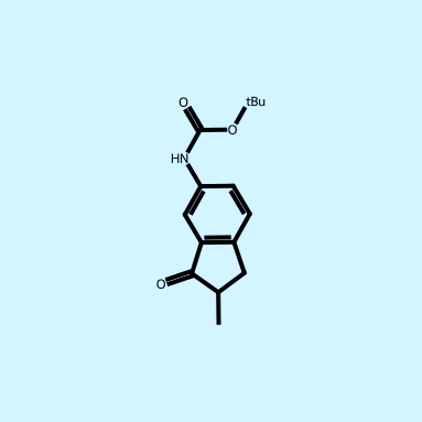 CC1Cc2ccc(NC(=O)OC(C)(C)C)cc2C1=O